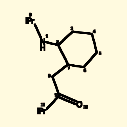 CC(C)NC1CCCCC1CC(=O)C(C)C